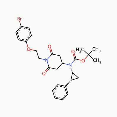 CC(C)(C)OC(=O)N(C1CC(=O)N(CCOc2ccc(Br)cc2)C(=O)C1)[C@@H]1C[C@H]1c1ccccc1